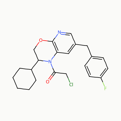 O=C(CCl)N1c2cc(Cc3ccc(F)cc3)cnc2OCC1C1CCCCC1